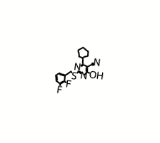 N#Cc1c(O)nc(SCc2cccc(F)c2F)nc1C1CCCCC1